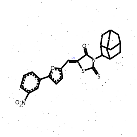 O=C1/C(=C/c2ccc(-c3cccc([N+](=O)[O-])c3)o2)SC(=S)N1C1C2CC3CC(C2)CC1C3